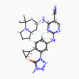 Cn1nnn(-c2cc(Nc3ncc(C#N)c(N[C@@H]4CC5CCCN5C(C)(C)C4)n3)c(F)cc2C2CC2)c1=O